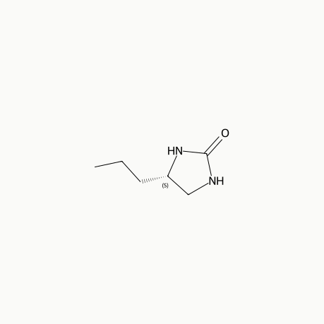 CCC[C@H]1CNC(=O)N1